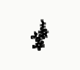 C=CC(Cl)[C@H]1O[C@@H](n2cc(Br)c(=O)[nH]c2=O)C[C@@H]1OC(=O)[C@@H](NC(=O)OCCCC)C(C)C